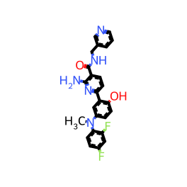 CN(c1ccc(O)c(-c2ccc(C(=O)NCc3cccnc3)c(N)n2)c1)c1ccc(F)cc1F